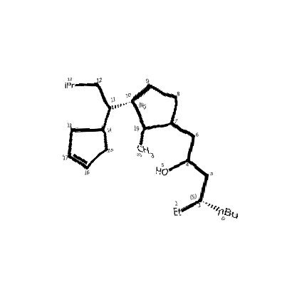 CCCC[C@H](CC)CC(O)CC1CC[C@@H](C(CC(C)C)C2CC=CC2)C1C